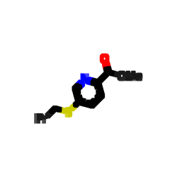 COC(=O)c1ccc(SCC(C)C)cn1